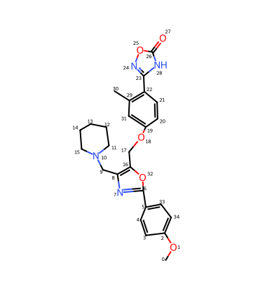 COc1ccc(-c2nc(CN3CCCCC3)c(COc3ccc(-c4noc(=O)[nH]4)c(C)c3)o2)cc1